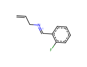 C=CC/N=C/c1ccccc1F